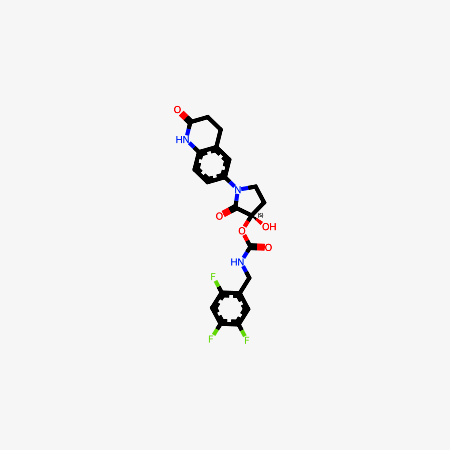 O=C1CCc2cc(N3CC[C@](O)(OC(=O)NCc4cc(F)c(F)cc4F)C3=O)ccc2N1